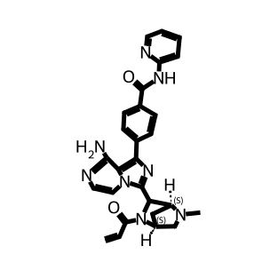 C=CC(=O)N1C(c2nc(-c3ccc(C(=O)Nc4ccccn4)cc3)c3c(N)nccn23)[C@@H]2C[C@H]1CN2C